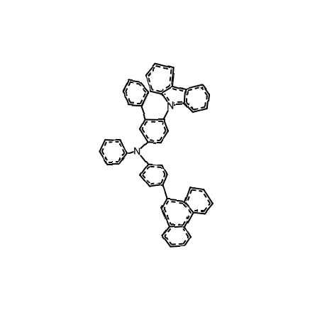 c1ccc(-c2cc(N(c3ccccc3)c3ccc(-c4cc5ccccc5c5ccccc45)cc3)ccc2-n2c3ccccc3c3ccccc32)cc1